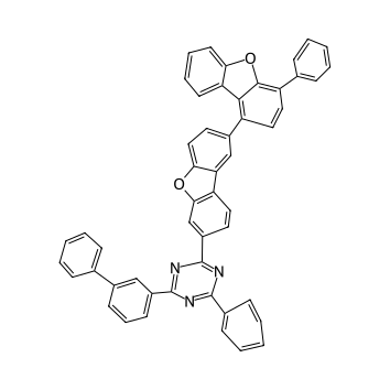 c1ccc(-c2cccc(-c3nc(-c4ccccc4)nc(-c4ccc5c(c4)oc4ccc(-c6ccc(-c7ccccc7)c7oc8ccccc8c67)cc45)n3)c2)cc1